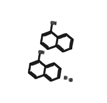 Oc1cccc2ccccc12.Oc1cccc2ccccc12.[B].[O]